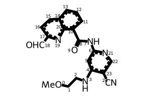 COCCNc1cc(NC(=O)c2cccc3ccc(C=O)nc23)ncc1C#N